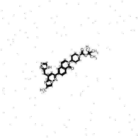 Cc1cn2nc(-c3ccc4c(=O)n(C5CCN(C(=O)OC(C)(C)C)CC5)ccc4c3)cc(Cc3nnc[nH]3)c2n1